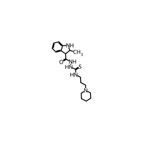 CC1Nc2ccccc2C1C(=O)NNC(=S)NCCCN1CCCCC1